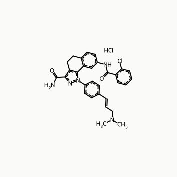 CN(C)C/C=C/c1ccc(-n2nc(C(N)=O)c3c2-c2cc(NC(=O)c4ccccc4Cl)ccc2CC3)cc1.Cl